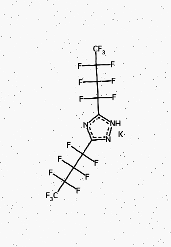 FC(F)(F)C(F)(F)C(F)(F)C(F)(F)c1n[nH]c(C(F)(F)C(F)(F)C(F)(F)C(F)(F)F)n1.[K]